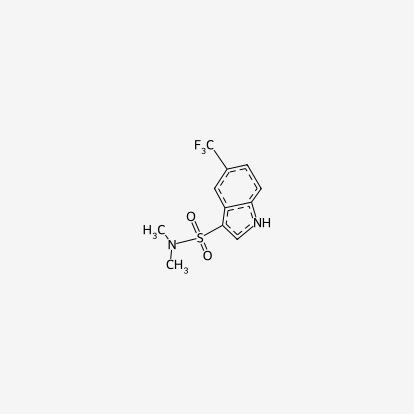 CN(C)S(=O)(=O)c1c[nH]c2ccc(C(F)(F)F)cc12